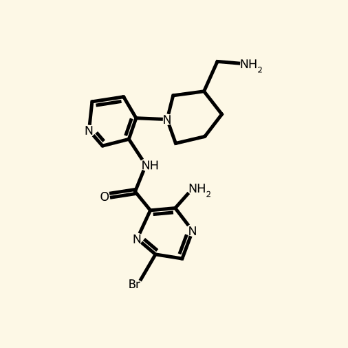 NCC1CCCN(c2ccncc2NC(=O)c2nc(Br)cnc2N)C1